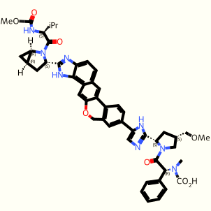 COC[C@H]1C[C@@H](c2ncc(-c3ccc4c(c3)COc3cc5c(ccc6nc([C@@H]7C[C@H]8C[C@H]8N7C(=O)[C@@H](NC(=O)OC)C(C)C)[nH]c65)cc3-4)[nH]2)N(C(=O)[C@@H](c2ccccc2)N(C)C(=O)O)C1